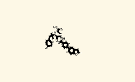 CC(C)(Cc1ccc(F)cc1)NC(=O)[C@H](CCC(=O)O)NC(=O)c1ccc(-c2ccc3c(c2)CCO3)cc1